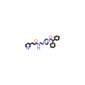 O=C(C=Cc1cccnc1)NCCN1CCN(C(=O)C(c2ccccc2)c2ccccc2)CC1